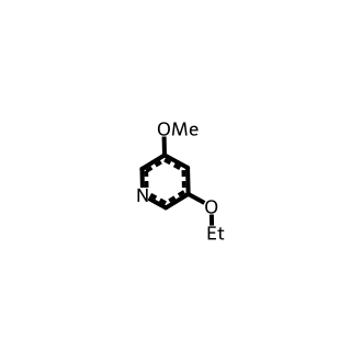 CCOc1cncc(OC)c1